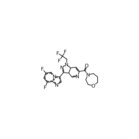 O=C(C1=CC2C(C=N1)C(c1cnc3c(F)cc(F)cn13)=NN2CC(F)(F)F)N1CCCOCC1